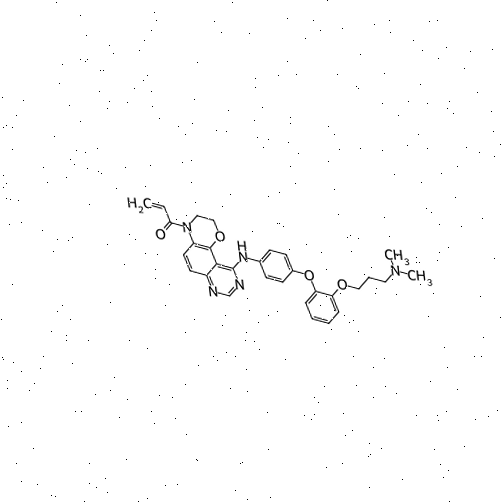 C=CC(=O)N1CCOc2c1ccc1ncnc(Nc3ccc(Oc4ccccc4OCCCN(C)C)cc3)c21